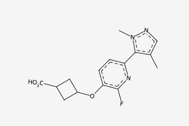 Cc1cnn(C)c1-c1ccc(OC2CC(C(=O)O)C2)c(F)n1